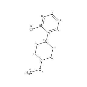 COC1CCN(c2ccccc2Cl)CC1